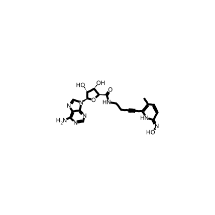 Cc1cc/c(=N/O)[nH]c1C#CCCNC(=O)[C@H]1O[C@@H](n2cnc3c(N)ncnc32)[C@H](O)[C@@H]1O